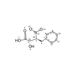 O=C(O)[C@@H](O)[C@H](Cc1ccccc1)[N+](=O)[O-]